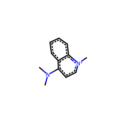 CN(C)c1cc[n+](C)c2ccccc12